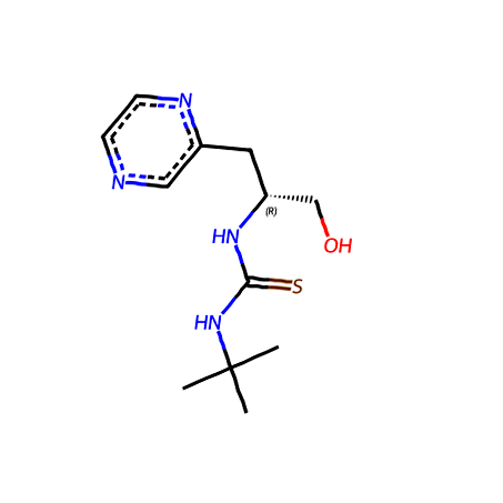 CC(C)(C)NC(=S)N[C@@H](CO)Cc1cnccn1